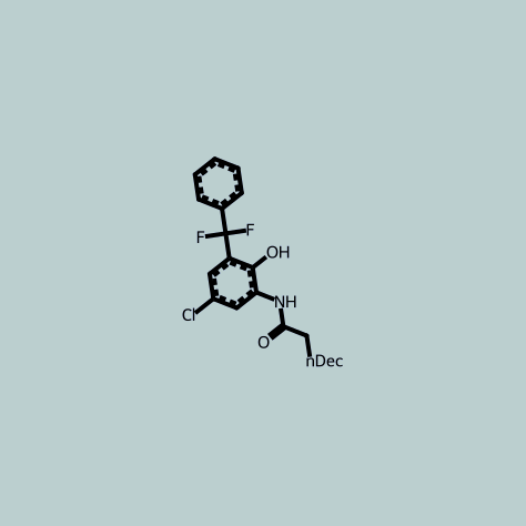 CCCCCCCCCCCC(=O)Nc1cc(Cl)cc(C(F)(F)c2ccccc2)c1O